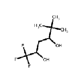 CC(C)(C)C(O)CC(O)C(F)(F)F